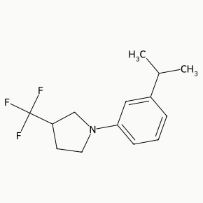 CC(C)c1cccc(N2CCC(C(F)(F)F)C2)c1